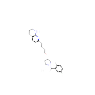 Cc1ccc(F)cc1C(C(=O)O)N1CC[C@H](OCCCCc2ccc3c(n2)NCCC3)C1